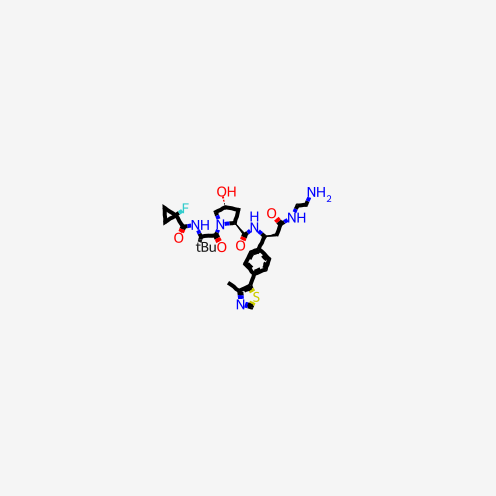 Cc1ncsc1-c1ccc([C@H](CC(=O)NCCN)NC(=O)[C@@H]2C[C@@H](O)CN2C(=O)C(NC(=O)C2(F)CC2)C(C)(C)C)cc1